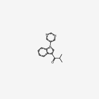 CC(C)C(=O)c1cn(-c2cncnc2)c2ccccc12